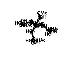 COCCCOCC(CO)COCCCOP(=O)(O)OCC(COCCCOP(=O)(O)OCCCCCCO[C@@H]1OC(CO)[C@H](O)C(O)[C@@H]1NC(C)=O)(COCCCOP(=O)(O)OCCCCCCO[C@@H]1CC(CO)[C@H](O)[C@H](O)C1NC(C)=O)COCCCOP(=O)(O)OCCCCCCO[C@@H]1CC(CO)C(O)C(O)[C@@H]1NC(C)=O